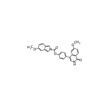 COc1ccc2cn(C(=O)Oc3ccc(-c4c[nH]c(=O)c5ccc(OC)cc45)cc3)cc2c1